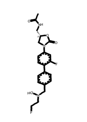 CC(=O)NC[C@H]1CN(c2ccc(-c3ccc(CN(O)CCF)cc3)c(F)c2)C(=O)O1